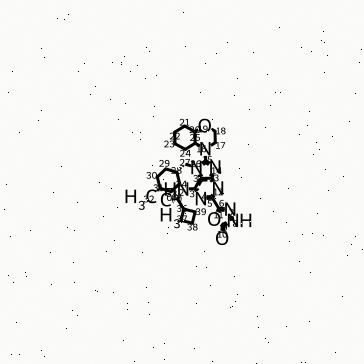 C[C@@H](Nc1nc(-c2n[nH]c(=O)o2)nc2nc(N3CCOC4CCCCC43)n(C[C@H]3CC[C@H](C)CC3)c12)C1CCC1